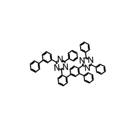 c1ccc(-c2cccc(-c3nc(-c4ccccc4)nc(-c4ccccc4-c4ccc(-c5nc(-c6ccccc6)nc(-c6ccccc6)n5)c(-c5ccccc5)c4)n3)c2)cc1